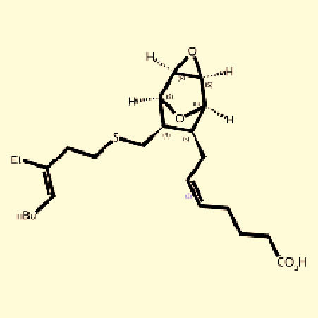 CCCCC=C(CC)CCSC[C@@H]1[C@H](C/C=C\CCCC(=O)O)[C@H]2O[C@@H]1[C@H]1O[C@H]12